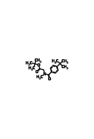 CN(CC(=O)OC(C)(C)C)C(=O)c1ccc(C(C)(C)C)cc1